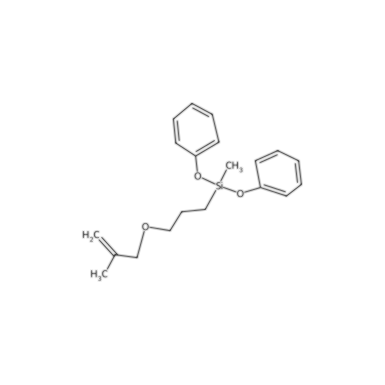 C=C(C)COCCC[Si](C)(Oc1ccccc1)Oc1ccccc1